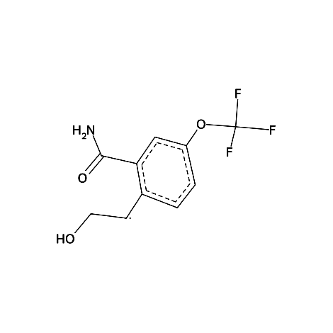 NC(=O)c1cc(OC(F)(F)F)ccc1[CH]CO